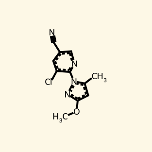 COc1cc(C)n(-c2ncc(C#N)cc2Cl)n1